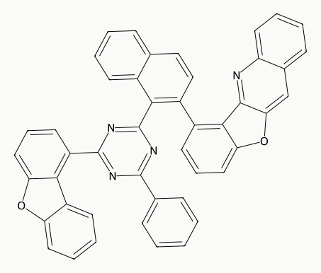 c1ccc(-c2nc(-c3c(-c4cccc5oc6cc7ccccc7nc6c45)ccc4ccccc34)nc(-c3cccc4oc5ccccc5c34)n2)cc1